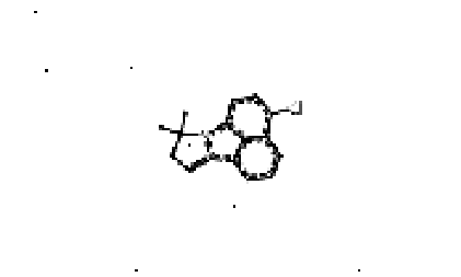 CC1(C)CC=c2c3cccc4c(Cl)ccc(c43)n21